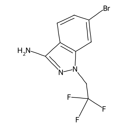 Nc1nn(CC(F)(F)F)c2cc(Br)ccc12